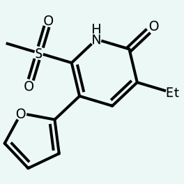 CCc1cc(-c2ccco2)c(S(C)(=O)=O)[nH]c1=O